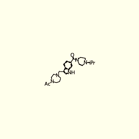 CC(=O)N1CCCN(Cc2c[nH]c3cc(C(=O)N4CCN(C(C)C)CC4)ccc23)CC1